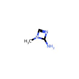 CN1C=NC1N